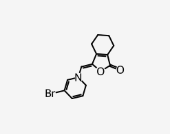 O=C1OC(=CN2C=C(Br)C=CC2)C2=C1CCCC2